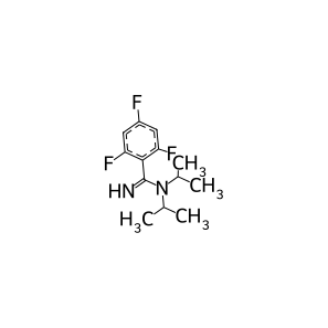 CC(C)N(C(=N)c1c(F)cc(F)cc1F)C(C)C